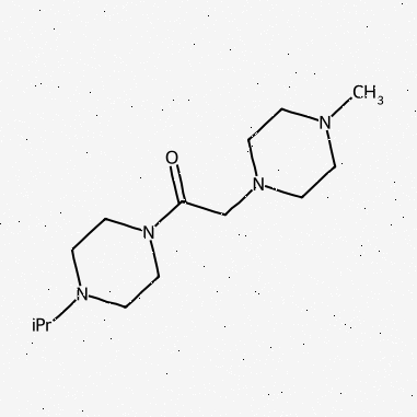 CC(C)N1CCN(C(=O)CN2CCN(C)CC2)CC1